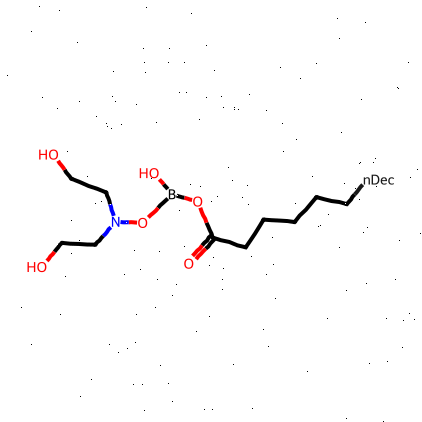 CCCCCCCCCCCCCCCC(=O)OB(O)ON(CCO)CCO